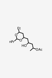 CCCC1OC(CC)CC(CC(O)CC(C)OC(C)=O)O1